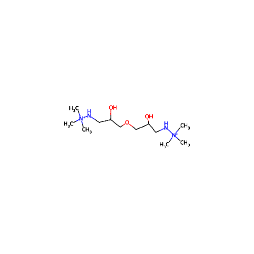 C[N+](C)(C)NCC(O)COCC(O)CN[N+](C)(C)C